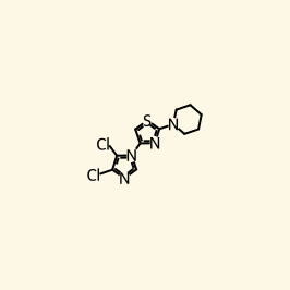 Clc1ncn(-c2csc(N3CCCCC3)n2)c1Cl